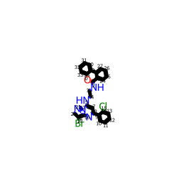 O=C(NCCNc1cc(-c2ccccc2Cl)nc2c(Br)cnn12)c1ccccc1-c1ccccc1